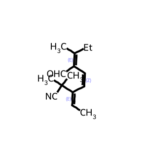 C\C=C(/C=C\C(C=O)=C(\C)CC)C(C)(C)C#N